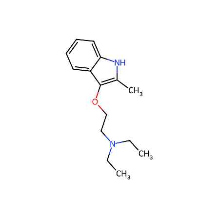 CCN(CC)CCOc1c(C)[nH]c2ccccc12